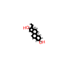 CC=C1C(O)CC2C3CCC4=CC(O)CC[C@]4(C)C3CC[C@]12C